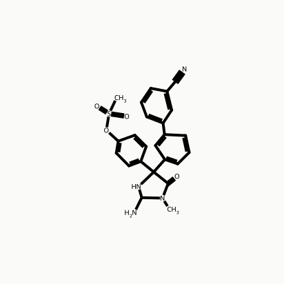 CN1C(=O)C(c2ccc(OS(C)(=O)=O)cc2)(c2cccc(-c3cccc(C#N)c3)c2)NC1N